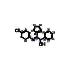 OC(/C(=N/C1=CC=C(Cl)CC1)c1cccs1)c1ccccc1